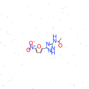 CC(=O)Nc1nc(-c2ccc([N+](=O)[O-])o2)n[nH]1